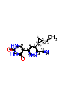 C=C[C@@H]1C[C@@H]1c1cc(-c2c[nH]c(=O)[nH]c2=O)nnc1C#N